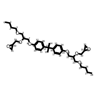 CCCCOCC(COc1ccc(C(C)(C)c2ccc(OCC(COCCCC)OCC3CO3)cc2)cc1)OCC1CO1